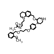 COc1ccccc1COCCCOc1ccc([C@H]2CCNC[C@@H]2OCc2ccc3c(c2)N(CCCNC(C)=O)CCC3)cc1